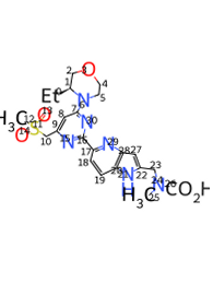 CC[C@H]1COCCN1c1cc(CS(C)(=O)=O)nc(-c2ccc3[nH]c(CN(C)C(=O)O)cc3n2)n1